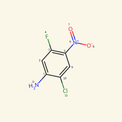 Nc1cc(F)c([N+](=O)[O-])cc1Cl